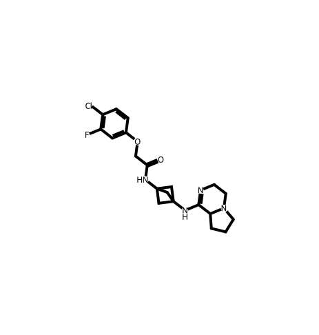 O=C(COc1ccc(Cl)c(F)c1)NC12CC(NC3=NCCN4CCCC34)(C1)C2